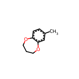 Cc1ccc2c(c1)OCCCO2